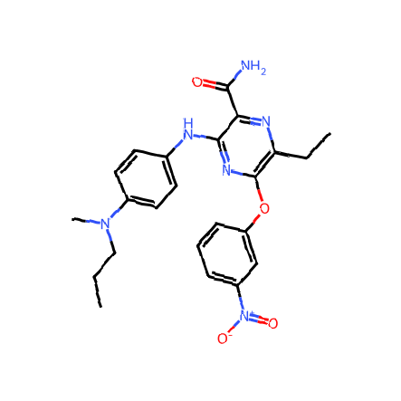 CCCN(C)c1ccc(Nc2nc(Oc3cccc([N+](=O)[O-])c3)c(CC)nc2C(N)=O)cc1